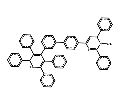 CN1C(c2ccccc2)=NC(c2ccc(-c3cccc(C4=C(c5ccccc5)C(c5ccccc5)NC(c5ccccc5)=C4c4ccccc4)c3)cc2)=CC1c1ccccc1